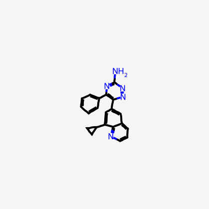 Nc1nnc(-c2cc(C3CC3)c3ncccc3c2)c(-c2ccccc2)n1